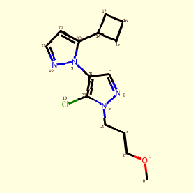 COCCCn1ncc(-n2nccc2C2CCC2)c1Cl